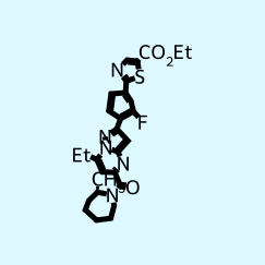 CCOC(=O)c1cnc(-c2ccc(-c3cc4nc(C(=O)N5CCCCC[C@H]5C)cc(CC)n4n3)c(F)c2)s1